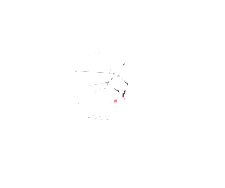 CC(=O)[C@]12CC3CC(C1)[C@@](CC(=O)O)(c1ccc(F)cc1)C(C3)C2